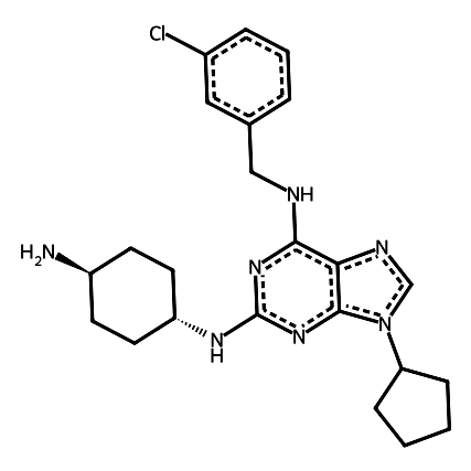 N[C@H]1CC[C@H](Nc2nc(NCc3cccc(Cl)c3)c3ncn(C4CCCC4)c3n2)CC1